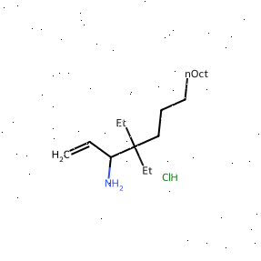 C=CC(N)C(CC)(CC)CCCCCCCCCCC.Cl